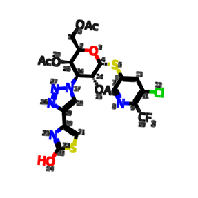 CC(=O)OC[C@H]1O[C@H](Sc2cnc(C(F)(F)F)c(Cl)c2)[C@H](OC(C)=O)[C@@H](n2cc(-c3csc(O)n3)nn2)[C@H]1OC(C)=O